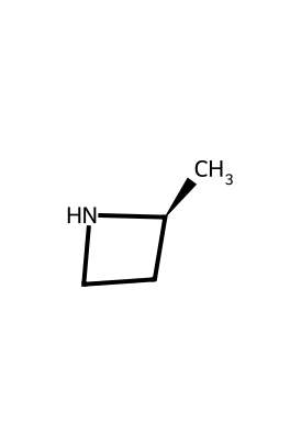 C[C@H]1CCN1